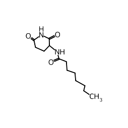 CCCCCCCC(=O)NC1CCC(=O)NC1=O